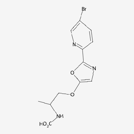 CC(COc1cnc(-c2ccc(Br)cn2)o1)NC(=O)O